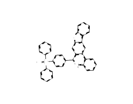 O=P(c1ccccc1)(c1ccccc1)c1ccc(-c2nc3ccccc3c3cc4c(cc23)sc2ccccc24)cc1